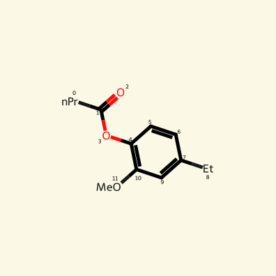 CCCC(=O)Oc1ccc(CC)cc1OC